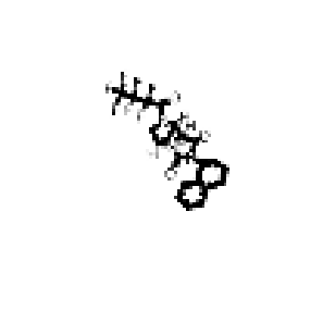 O=C1[C@@H]2[C@@H]3C[C@@H](CN3C(=O)C(F)(F)C(F)(F)C(F)(F)F)N2C(=O)N1c1cccc2ccccc12